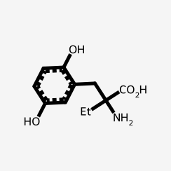 CCC(N)(Cc1cc(O)ccc1O)C(=O)O